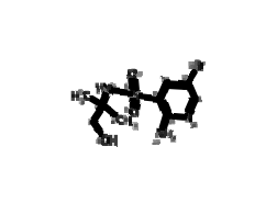 CC(C)(CO)NS(=O)(=O)c1cc(Br)cnc1N